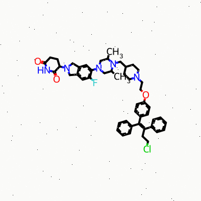 CC1CN(c2cc3c(cc2F)CN(C2CCC(=O)NC2=O)C3)CC(C)N1CC1CCN(CCOc2ccc(C(=C(CCCl)c3ccccc3)c3ccccc3)cc2)CC1